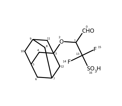 O=CC(OC12CC3CC(CC(C3)C1)C2)C(F)(F)S(=O)(=O)O